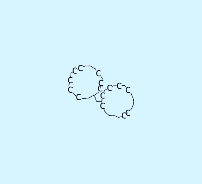 C1CCCCCCCCCC(CC2CCCCCCCCCCCCCCCCCC2)CCCCCCCC1